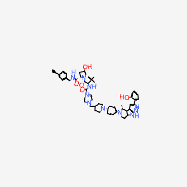 C#Cc1ccc(CNC(=O)[C@@H]2C[C@@H](O)CN2C(=O)[C@@H](NC(=O)N2CCN(CC3CCN([C@H]4CC[C@@H](N5CCC6Nc7nnc(-c8ccccc8O)cc7C6[C@H]5C)CC4)CC3)CC2)C(C)(C)C)cc1